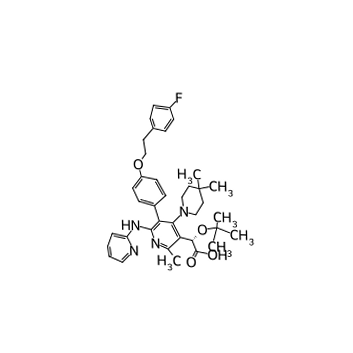 Cc1nc(Nc2ccccn2)c(-c2ccc(OCCc3ccc(F)cc3)cc2)c(N2CCC(C)(C)CC2)c1[C@H](OC(C)(C)C)C(=O)O